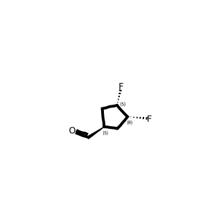 O=C[C@@H]1C[C@@H](F)[C@@H](F)C1